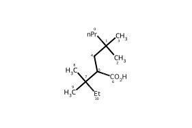 CCCC(C)(C)CC(C(=O)O)C(C)(C)CC